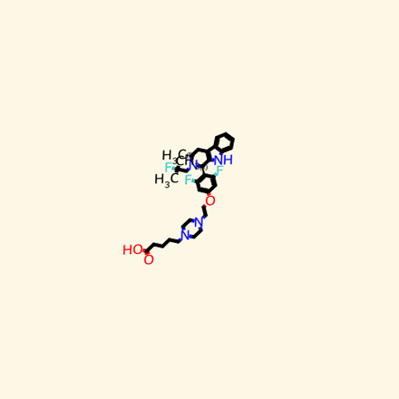 C[C@@H]1Cc2c([nH]c3ccccc23)[C@@H](c2c(F)cc(OCCN3CCN(CCCCC(=O)O)CC3)cc2F)N1CC(C)(C)F